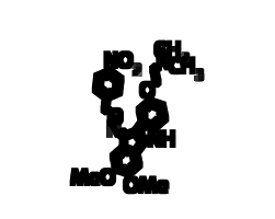 COc1cc2c(cc1OC)-c1[nH]c3ccc(OCCN(C)C)cc3c1/C2=N\OCc1ccc([N+](=O)[O-])cc1